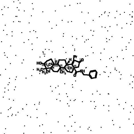 CC(C)C1=C2[C@H]3CC[C@@H]4[C@@]5(C)CC[C@H](O)C(C)(C)[C@@H]5CC[C@@]4(C)[C@]3(C)CC[C@@]2(C(=O)NCc2ccccc2)CC1=O